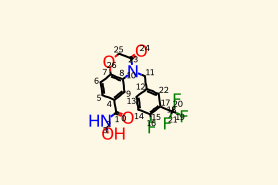 O=C(NO)c1ccc2c(c1)N(Cc1ccc(F)c(C(F)(F)F)c1)C(=O)CO2